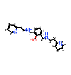 Oc1c(CNCCc2ccccn2)cccc1CNCCc1ccccn1